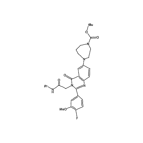 COc1cc(-c2nc3ccc(N4CCCN(C(=O)OC(C)(C)C)CC4)cc3c(=O)n2CC(=O)NC(C)C)ccc1F